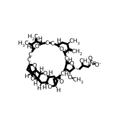 C=C1C(C)[C@@H]2CC[C@@]34C[C@H]5[C@H]6O[C@H](CC[C@@H]6O[C@H]6[C@@H](O3)[C@@H](C4)O[C@@H]56)CC(=O)C[C@@H]3[C@@H](OC)[C@@H](CC(C)C[N+](=O)[O-])O[C@H]3C[C@H]3O[C@@H](CC[C@@H]1O2)C[C@@H](C)C3=C